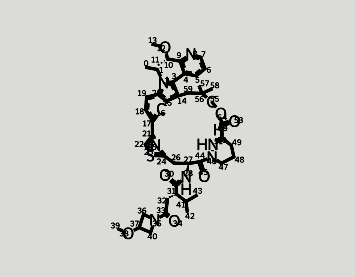 CCn1c(-c2cccnc2[C@H](C)OC)c2c3cc(ccc31)-c1csc(n1)C[C@H](NC(=O)[C@@H](CC(=O)N1CC(OC)C1)C(C)C)C(=O)N1CCC[C@H](N1)C(=O)OCC(C)(C)C2